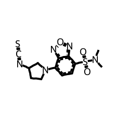 CN(C)S(=O)(=O)c1ccc(N2CCC(N=C=S)C2)c2nonc12